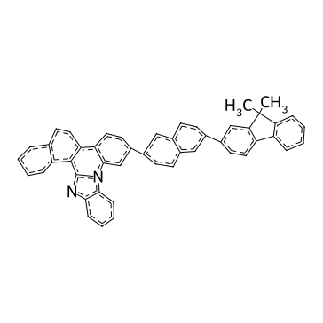 CC1(C)c2ccccc2-c2ccc(-c3ccc4cc(-c5ccc6c7ccc8ccccc8c7c7nc8ccccc8n7c6c5)ccc4c3)cc21